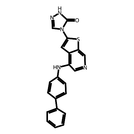 O=c1[nH]ncn1-c1cc2c(Nc3ccc(-c4ccccc4)cc3)cncc2s1